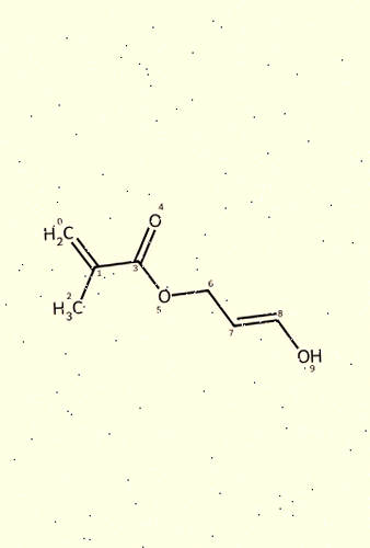 C=C(C)C(=O)OCC=CO